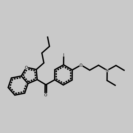 CCCCc1oc2ccccc2c1C(=O)c1ccc(OCCN(CC)CC)c(I)c1